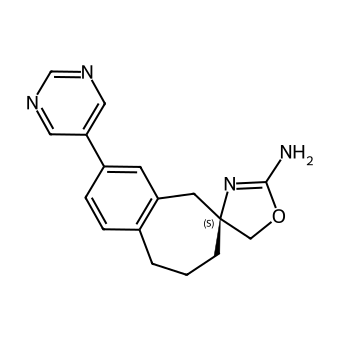 NC1=N[C@]2(CCCc3ccc(-c4cncnc4)cc3C2)CO1